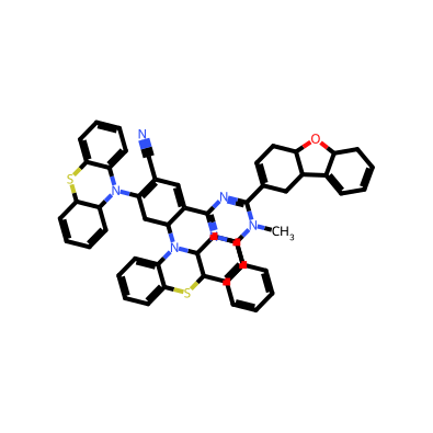 CN1C(C2=CCC3OC4CC=CC=C4C3C2)=NC(C2=CC(C#N)=C(N3c4ccccc4SC4C=CC=CC43)CC2N2c3ccccc3SC3C=CCCC32)=NC1C1C=CC=CC1